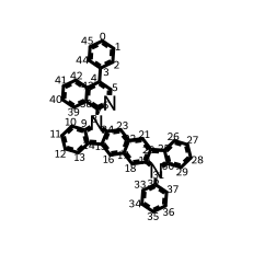 c1ccc(-c2cnc(-n3c4ccccc4c4cc5cc6c(cc5cc43)c3ccccc3n6-c3ccccc3)c3ccccc23)cc1